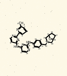 Cc1cccc(-c2nccc(Nc3ccnc(Nc4ccc(CN5CC6CCC(C5)O6)cc4)n3)n2)n1